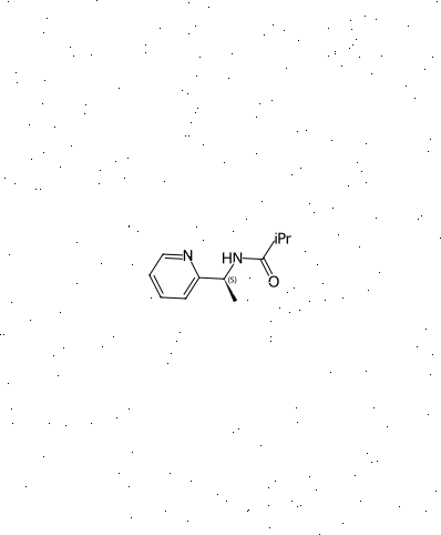 CC(C)C(=O)N[C@@H](C)c1ccccn1